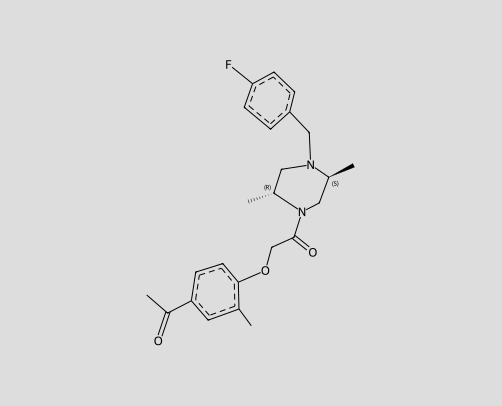 CC(=O)c1ccc(OCC(=O)N2C[C@H](C)N(Cc3ccc(F)cc3)C[C@H]2C)c(C)c1